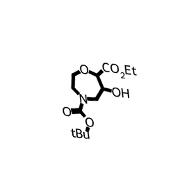 CCOC(=O)C1OCCN(C(=O)OC(C)(C)C)CC1O